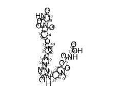 CCn1c(=O)c(OCC(=O)NC)cc2cc(Nc3nc(N4CCN([C@@H]5C[C@@H](COc6ccc7c(c6)C(=O)N(C6CCC(=O)NC6=O)C7=O)N(C)C5)CC4)ncc3Cl)ccc21.O=CO